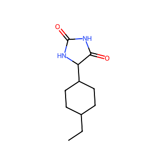 CCC1CCC(C2NC(=O)NC2=O)CC1